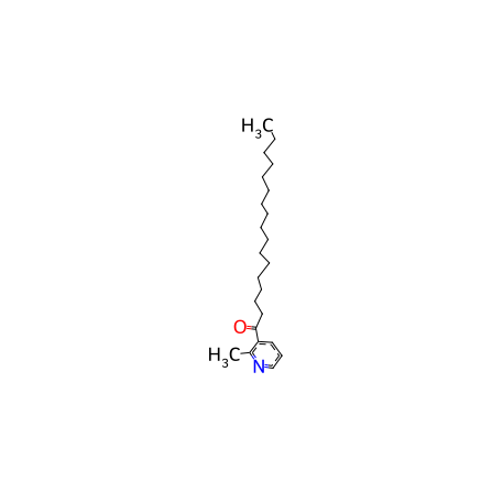 CCCCCCCCCCCCCCCCC(=O)c1cccnc1C